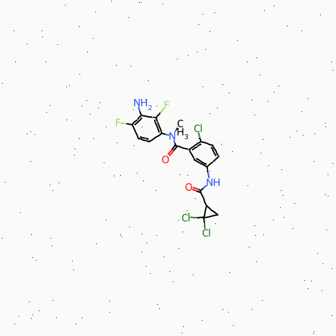 CN(C(=O)c1cc(NC(=O)C2CC2(Cl)Cl)ccc1Cl)c1ccc(F)c(N)c1F